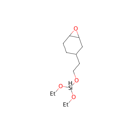 CCO[SiH](OCC)OCCC1CCC2OC2C1